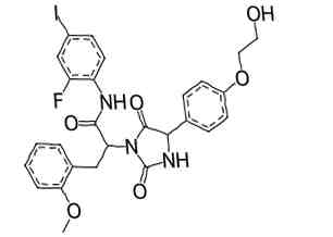 COc1ccccc1CC(C(=O)Nc1ccc(I)cc1F)N1C(=O)NC(c2ccc(OCCO)cc2)C1=O